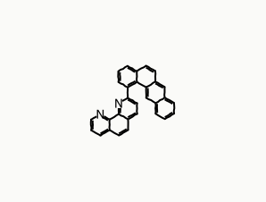 c1ccc2cc3c(ccc4cccc(-c5ccc6ccc7cccnc7c6n5)c43)cc2c1